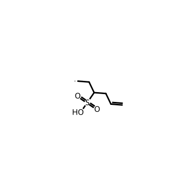 [CH2]CC(CC=C)S(=O)(=O)O